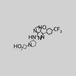 CC1(O)CC(N2CCCC(Nc3nnc(-c4ccc(C(F)(F)F)cc4O)c4cccnc34)C2)C1